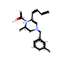 C=C/C=C\C1=CN(Cc2cccc(C)c2)CC(C)N1C(C)=O